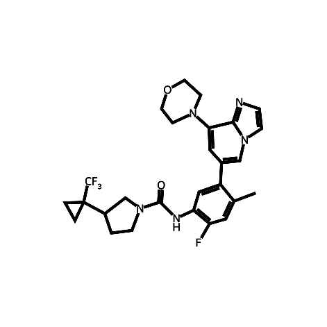 Cc1cc(F)c(NC(=O)N2CCC(C3(C(F)(F)F)CC3)C2)cc1-c1cc(N2CCOCC2)c2nccn2c1